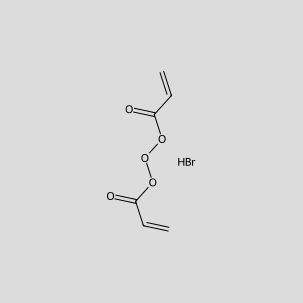 Br.C=CC(=O)OOOC(=O)C=C